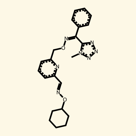 Cn1nnnc1C(=NOCc1cccc(C=NOC2CCCCC2)n1)c1ccccc1